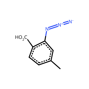 Cc1ccc(C(=O)O)c(N=[N+]=[N-])c1